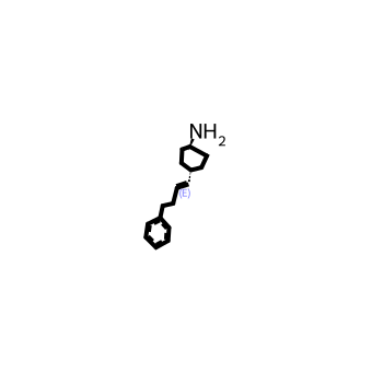 N[C@H]1CC[C@H](/C=C/CCc2ccccc2)CC1